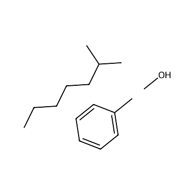 CCCCCC(C)C.CO.Cc1ccccc1